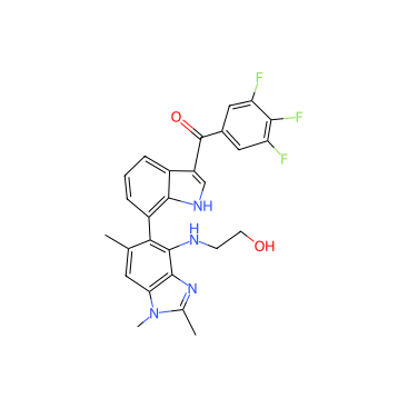 Cc1cc2c(nc(C)n2C)c(NCCO)c1-c1cccc2c(C(=O)c3cc(F)c(F)c(F)c3)c[nH]c12